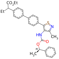 CCOC(=O)C(CC)c1ccc(-c2ccc(-c3snc(C)c3NC(=O)O[C@H](C)c3ccccc3)cc2)cc1